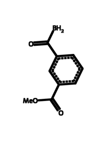 BC(=O)c1cccc(C(=O)OC)c1